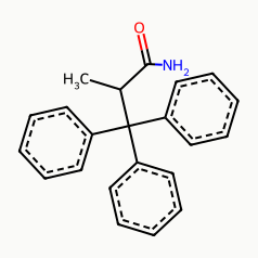 CC(C(N)=O)C(c1ccccc1)(c1ccccc1)c1ccccc1